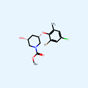 Cc1cc(Cl)cc(Br)c1O[C@H]1C[C@@H](O)CN(C(=O)OC(C)(C)C)C1